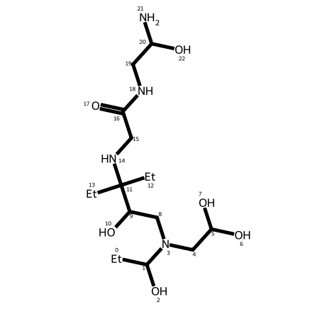 CCC(O)N(CC(O)O)CC(O)C(CC)(CC)NCC(=O)NCC(N)O